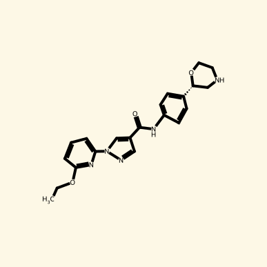 CCOc1cccc(-n2cc(C(=O)Nc3ccc([C@H]4CNCCO4)cc3)cn2)n1